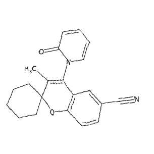 CC1=C(n2ccccc2=O)c2cc(C#N)ccc2OC12CCCCC2